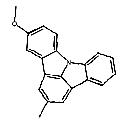 COc1ccc2c(c1)c1cc(C)cc3c4ccccc4n2c31